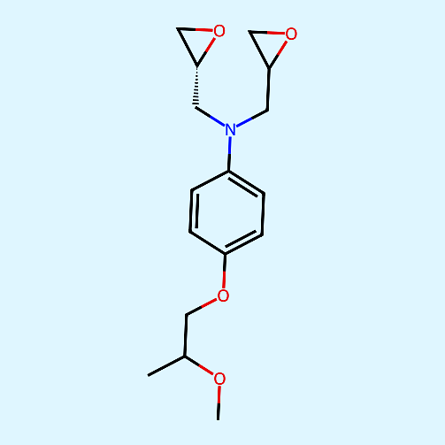 COC(C)COc1ccc(N(CC2CO2)C[C@@H]2CO2)cc1